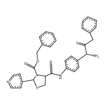 NC(C(=O)Cc1ccccc1)c1ccc(NC(=O)C2CSC(c3ccncc3)N2C(=O)OCc2ccccc2)cc1